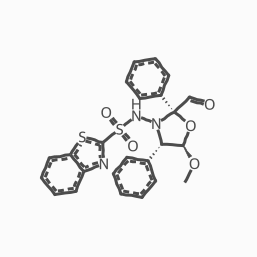 CO[C@@H]1O[C@@](C=O)(c2ccccc2)N(NS(=O)(=O)c2nc3ccccc3s2)[C@H]1c1ccccc1